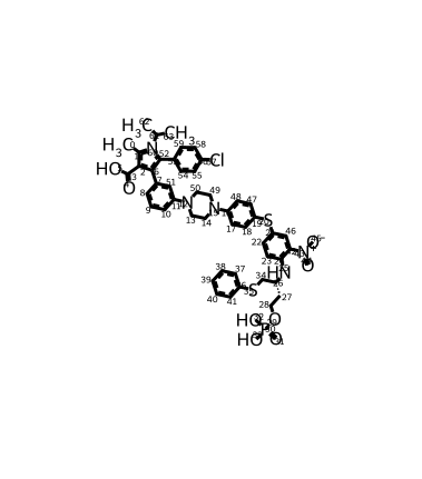 Cc1c(C(=O)O)c(-c2cccc(N3CCN(c4ccc(Sc5ccc(N[C@H](CCOP(=O)(O)O)CSc6ccccc6)c([N+](=O)[O-])c5)cc4)CC3)c2)c(-c2ccc(Cl)cc2)n1C(C)C